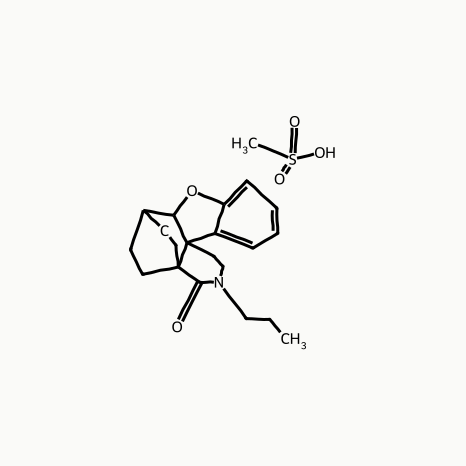 CCCN1CCC23c4ccccc4OC2C2CCC3(CC2)C1=O.CS(=O)(=O)O